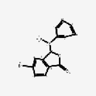 O=C1OC(P(P)c2ccccc2)c2cc(Br)ccc21